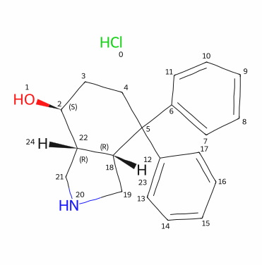 Cl.O[C@H]1CCC(c2ccccc2)(c2ccccc2)[C@@H]2CNC[C@@H]21